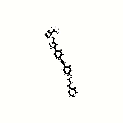 CC(O)c1nccn1Cc1cc(-c2ccc(C#Cc3ccc(OCCCN4CCOCC4)cc3)cc2)on1